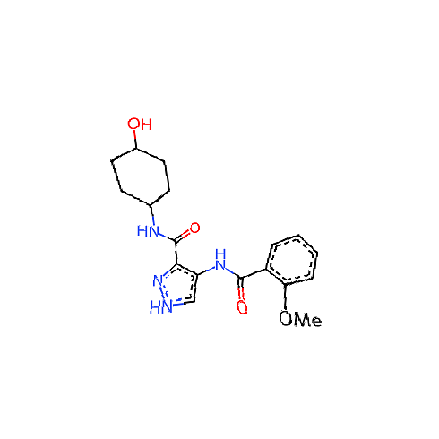 COc1ccccc1C(=O)Nc1c[nH]nc1C(=O)NC1CCC(O)CC1